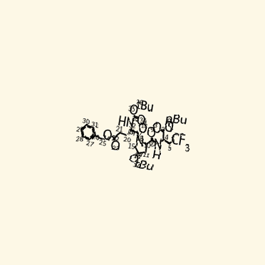 CCCCOC(=O)C(CC(F)(F)F)NC(=O)C1C[C@@H](OC(C)(C)C)CN1C(=O)[C@H](CCC(=O)OCc1ccccc1)NC(=O)OC(C)(C)C